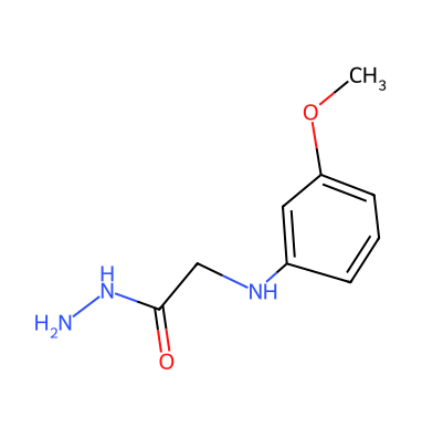 COc1cccc(NCC(=O)NN)c1